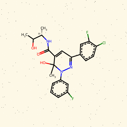 CC(O)[C@H](C)NC(=O)C1=CC(c2ccc(Cl)c(F)c2)=NN(c2cccc(F)c2)C1(C)O